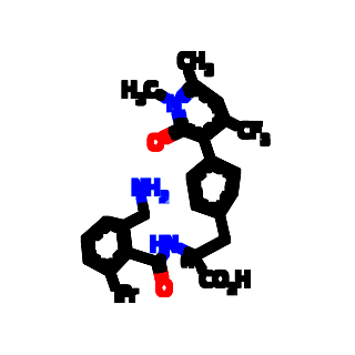 Cc1cc(C(F)(F)F)c(-c2ccc(C[C@H](NC(=O)c3c(CN)cccc3C(C)C)C(=O)O)cc2)c(=O)n1C